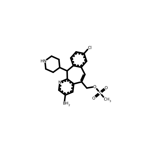 Bc1cnc2c(c1)C(COS(C)(=O)=O)=Cc1cc(Cl)ccc1C2C1CCNCC1